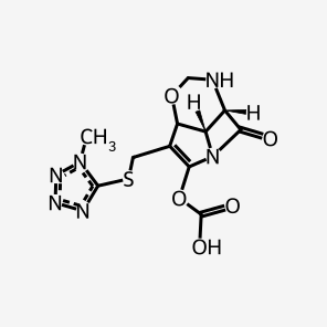 Cn1nnnc1SCC1=C(OC(=O)O)N2C(=O)[C@H]3NCOC1[C@H]32